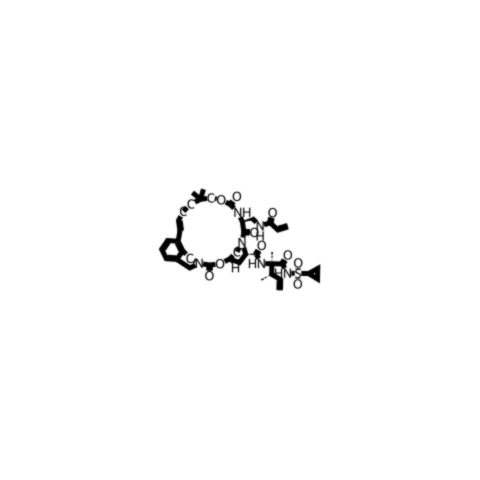 C=CC(=O)NC[C@@H]1NC(=O)OCC(C)(C)CC/C=C/c2cccc3c2CN(C3)C(=O)O[C@@H]2C[C@@H](C(=O)N[C@@](C)(C(=O)NS(=O)(=O)C3CC3)[C@@H](C)C=C)N(C2)C1=O